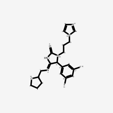 O=C1N/C(=N\CC2CCCO2)C(c2cc(F)cc(F)c2)N1CCCn1ccnc1